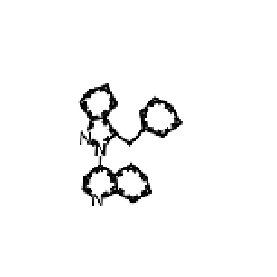 c1ccc(Cc2c3ccccc3nn2-c2ccnc3ccccc23)cc1